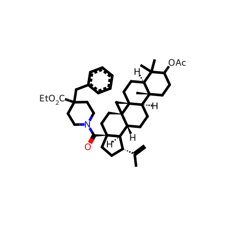 C=C(C)[C@@H]1CC[C@]2(C(=O)N3CCC(Cc4ccccc4)(C(=O)OCC)CC3)CC[C@@]34C[C@]35CC[C@H]3C(C)(C)C(OC(C)=O)CC[C@]3(C)[C@H]5CC[C@@H]4[C@@H]12